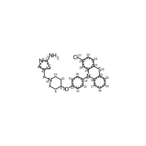 Nc1ncc(CN2CCC(Oc3ccc(N4c5ccccc5Sc5ccc(Cl)cc54)cc3)CC2)s1